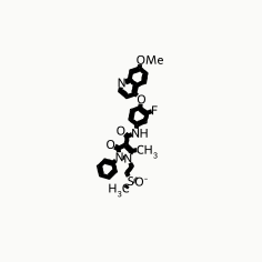 COc1ccc2c(Oc3ccc(NC(=O)c4c(C)n(CC[S+](C)[O-])n(-c5ccccc5)c4=O)cc3F)ccnc2c1